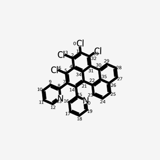 Clc1c(Cl)c2c(Cl)c(-c3ccccn3)c(-c3ccccn3)c3c4cccc5cccc(c(c1Cl)c23)c54